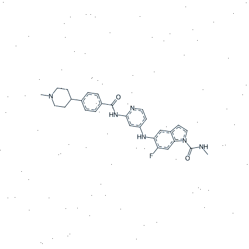 CNC(=O)n1ccc2cc(Nc3ccnc(NC(=O)c4ccc(C5CCN(C)CC5)cc4)c3)c(F)cc21